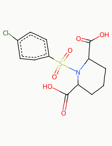 O=C(O)C1CCCC(C(=O)O)N1S(=O)(=O)c1ccc(Cl)cc1